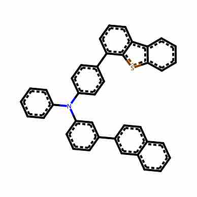 c1ccc(N(c2ccc(-c3cccc4c3sc3ccccc34)cc2)c2cccc(-c3ccc4ccccc4c3)c2)cc1